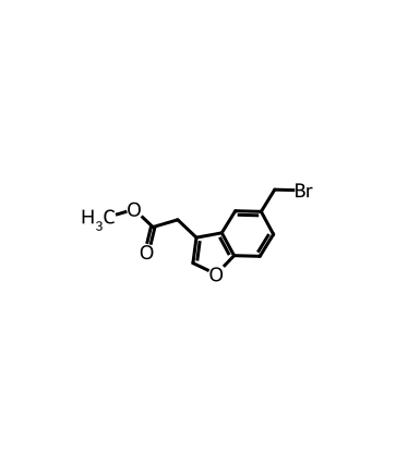 COC(=O)Cc1coc2ccc(CBr)cc12